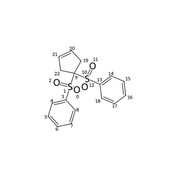 O=S(=O)(c1ccccc1)C1(S(=O)(=O)c2ccccc2)CC=CC1